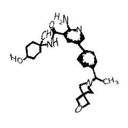 CC(c1ccc(-c2cnc(N)c(C(=O)NC3(C)CCC(O)CC3)c2)cc1)N1CC2(COC2)C1